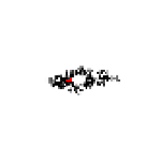 Nc1ncnc2c1ncn2[C@@H]1O[C@@H]2COP(=O)(S)C[C@@H]3[C@@H](O)[C@@H](OOP(=O)(O)O[C@H]2[C@H]1F)O[C@H]3n1cc(F)c2c(=O)[nH]cnc21